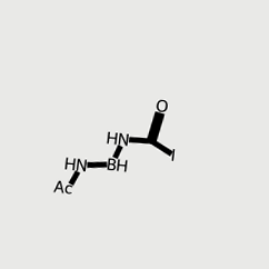 CC(=O)NBNC(=O)I